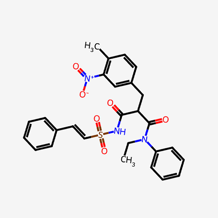 CCN(C(=O)C(Cc1ccc(C)c([N+](=O)[O-])c1)C(=O)NS(=O)(=O)C=Cc1ccccc1)c1ccccc1